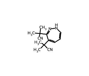 CC(C)(C#N)C1=CC=CNN=C1C(C)(C)C#N